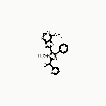 Cn1c(C(=O)c2cccs2)nc(-c2ccccc2)c1-c1nc2c(N)ncnc2s1